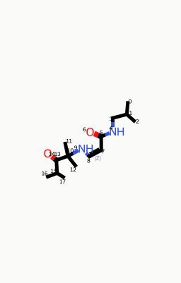 CC(C)CNC(=O)/C=C\NC(C)(C)C(=O)C(C)C